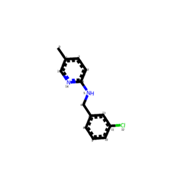 Cc1ccc(NCc2cccc(Cl)c2)nc1